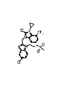 CS(=O)(=O)CCCn1c(Cn2c(=O)n(C3CC3)c3c(C(F)(F)F)cccc32)nc2cc(Cl)ccc21